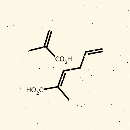 C=C(C)C(=O)O.C=CCC=C(C)C(=O)O